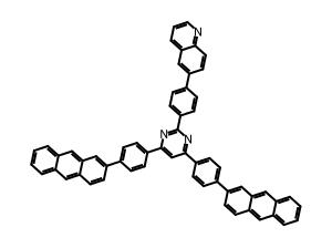 c1ccc2cc3cc(-c4ccc(-c5cc(-c6ccc(-c7ccc8cc9ccccc9cc8c7)cc6)nc(-c6ccc(-c7ccc8ncccc8c7)cc6)n5)cc4)ccc3cc2c1